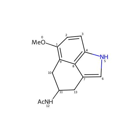 COc1ccc2[nH]cc3c2c1CC(NC(C)=O)C3